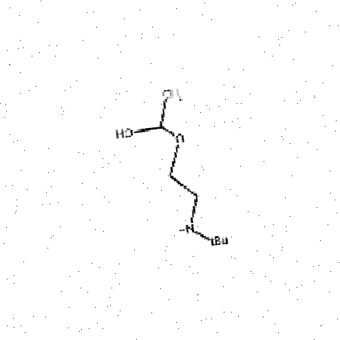 CC(O)OCCNC(C)(C)C